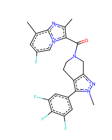 Cc1nc2c(C)cc(F)cn2c1C(=O)N1CCc2c(nn(C)c2-c2cc(F)c(F)c(F)c2)C1